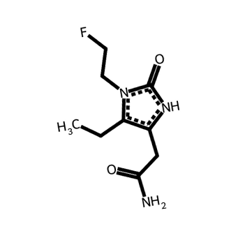 CCc1c(CC(N)=O)[nH]c(=O)n1CCF